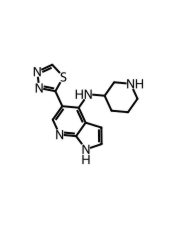 c1cc2c(NC3CCCNC3)c(-c3nncs3)cnc2[nH]1